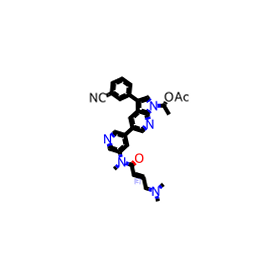 CC(=O)OC(C)n1cc(-c2cccc(C#N)c2)c2cc(-c3cncc(N(C)C(=O)/C=C/CN(C)C)c3)cnc21